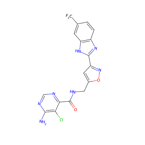 Nc1ncnc(C(=O)NCc2cc(-c3nc4ccc(C(F)(F)F)cc4[nH]3)no2)c1Cl